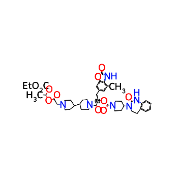 CCOC(=O)OC(C)OC(=O)CN1CCC(C2CCN(C(=O)[C@@H](Cc3cc(C)c4[nH]c(=O)oc4c3)OC(=O)N3CCC(N4CCc5ccccc5NC4=O)CC3)CC2)CC1